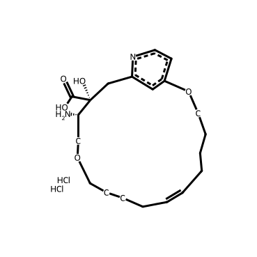 Cl.Cl.N[C@H]1COCCCCC=CCCCCOc2ccnc(c2)C[C@]1(O)C(=O)O